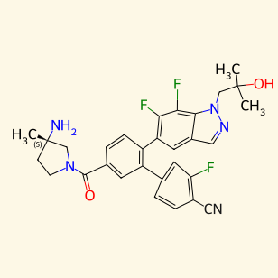 CC(C)(O)Cn1ncc2cc(-c3ccc(C(=O)N4CC[C@](C)(N)C4)cc3-c3ccc(C#N)c(F)c3)c(F)c(F)c21